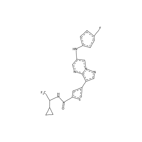 O=C(NC(C1CC1)C(F)(F)F)c1cc(-c2cnn3cc(Nc4ccc(F)cc4)cnc23)cs1